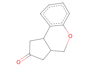 O=C1CC2COc3ccccc3C2C1